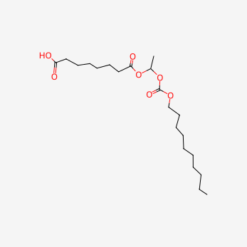 CCCCCCCCCCOC(=O)OC(C)OC(=O)CCCCCCC(=O)O